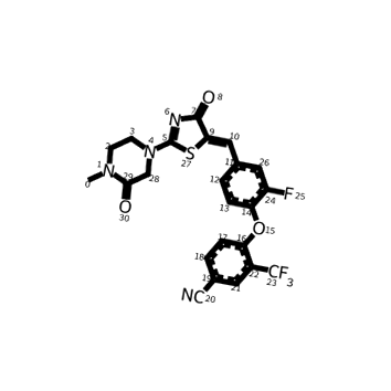 CN1CCN(C2=NC(=O)/C(=C/c3ccc(Oc4ccc(C#N)cc4C(F)(F)F)c(F)c3)S2)CC1=O